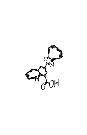 O=C(O)c1cc(-c2nc3ccccc3s2)cc2cccnc12